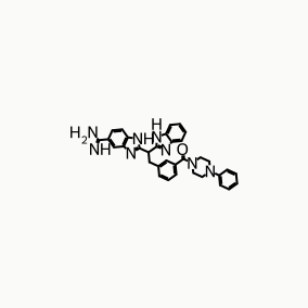 N=C(N)c1ccc2[nH]c(C(Cc3cccc(C(=O)N4CCN(c5ccccc5)CC4)c3)c3nc4ccccc4[nH]3)nc2c1